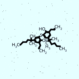 C=CCc1cc(C(C)(C)CCCCC)cc(Sc2cc(C(C)(C)CCCCC)cc(CC=C)c2O)c1O